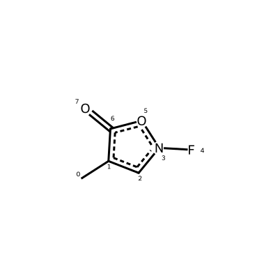 Cc1cn(F)oc1=O